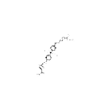 CC(C)(C)OC(=O)NCCCOc1ccc(C(C)(C)c2ccc(OCc3nc(C(N)=O)cs3)cc2)cc1